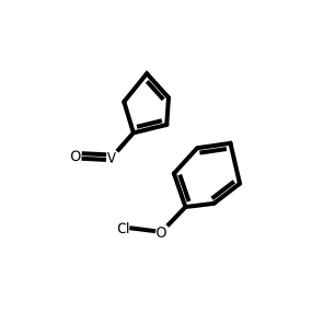 ClOc1ccccc1.[O]=[V][C]1=CC=CC1